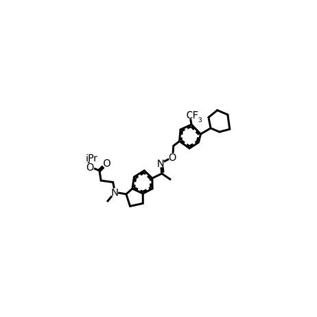 C/C(=N\OCc1ccc(C2CCCCC2)c(C(F)(F)F)c1)c1ccc2c(c1)CCC2N(C)CCC(=O)OC(C)C